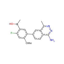 COc1cc(F)c(B(C)O)cc1-c1ccc2c(N)nnc(C)c2c1